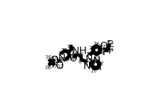 CC(NC(=O)CCc1nc2cccnc2n1Cc1ccc(OC(F)(F)F)cc1)C1CCN(C(=O)OC(C)(C)C)CC1